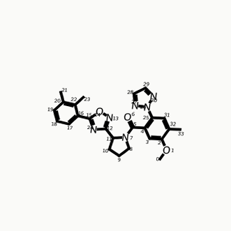 COc1cc(C(=O)N2CCCC2c2noc(-c3cccc(C)c3C)n2)c(-n2nccn2)cc1C